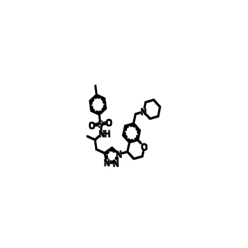 Cc1ccc(S(=O)(=O)NC(C)Cc2cn(C3CCOc4cc(CN5CCCCC5)ccc43)nn2)cc1